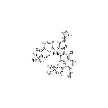 [2H]C([2H])([2H])n1ccc2c(C(Nc3cc(Cl)c4ncc(C#N)c(NCC(C)(C)C)c4c3)c3cn(C45CC(C4)C5)nn3)cccc2c1=O